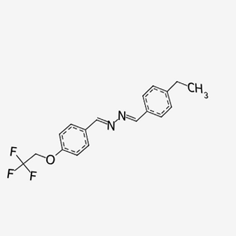 CCc1ccc(/C=N/N=C/c2ccc(OCC(F)(F)F)cc2)cc1